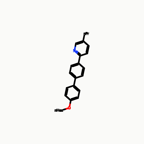 CCCCCCOc1ccc(-c2ccc(-c3ccc(CCC)cn3)cc2)cc1